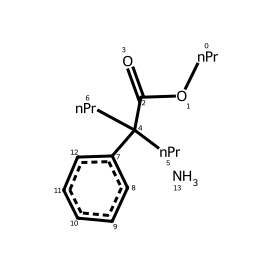 CCCOC(=O)C(CCC)(CCC)c1ccccc1.N